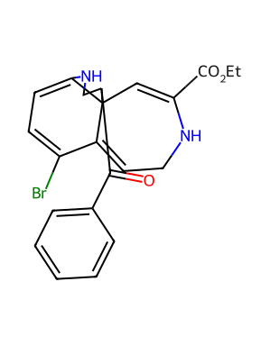 CCOC(=O)C1=CC23C(=CC=C(Br)C2=CCN1)NCC3C(=O)c1ccccc1